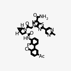 CC(=O)c1ccc(Cl)c(-c2cccc(NC(=O)[C@@H]3C[C@H]4C[C@H]4N3C(=O)Cn3nc(C(N)=O)c4sc(-c5cnc(C)nc5)nc43)c2F)c1